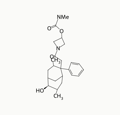 CNC(=O)OC1CN(C(=O)CC2(c3ccccc3)C(C)CC3CC2CC(C)[C@H]3O)C1